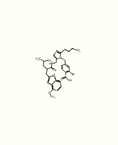 CCCCc1ncc(CNC(=O)C(Cc2cc3c(OC)cccc3s2)CC(C)C)n1Cc1ccc(C(=O)O)c(Br)c1